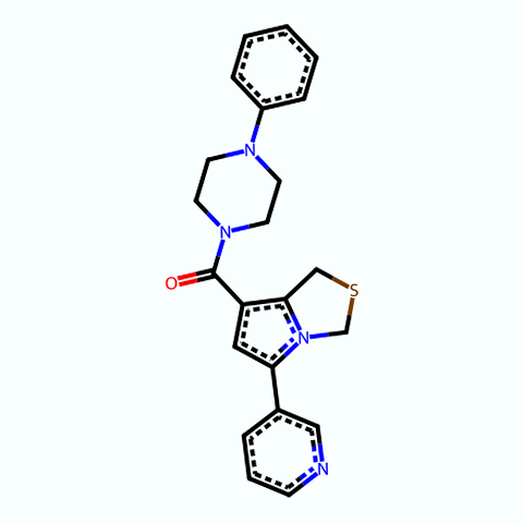 O=C(c1cc(-c2cccnc2)n2c1CSC2)N1CCN(c2ccccc2)CC1